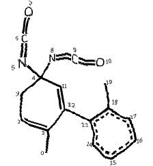 CC1=CCC(N=C=O)(N=C=O)C=C1c1ccccc1C